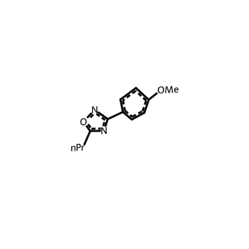 [CH2]CCc1nc(-c2ccc(OC)cc2)no1